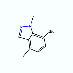 Cc1ccc(C(C)(C)C)c2c1cnn2C